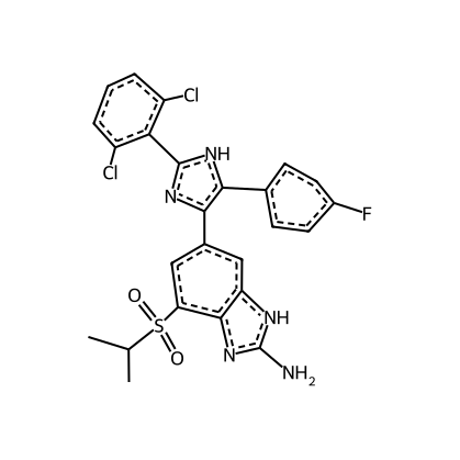 CC(C)S(=O)(=O)c1cc(-c2nc(-c3c(Cl)cccc3Cl)[nH]c2-c2ccc(F)cc2)cc2[nH]c(N)nc12